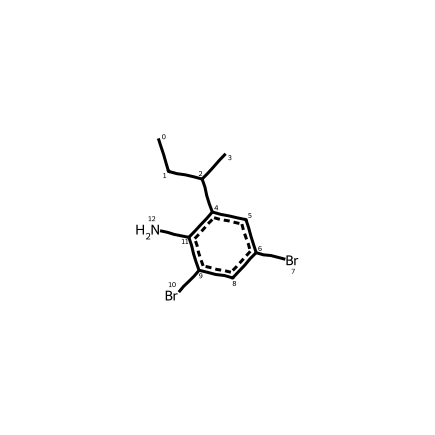 CCC(C)c1cc(Br)cc(Br)c1N